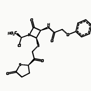 O=C(COc1ccccc1)N[C@@H]1C(=O)N([C@@H](Cl)C(=O)O)[C@@H]1SCC(=O)[C@H]1CCC(=O)S1